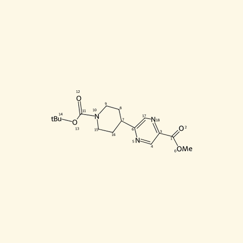 COC(=O)c1cnc(C2CCN(C(=O)OC(C)(C)C)CC2)cn1